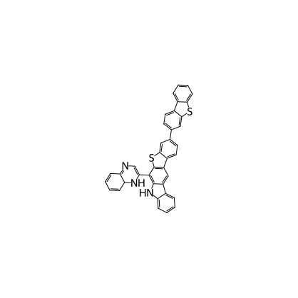 C1=CC2=NC=C(c3c4[nH]c5ccccc5c4cc4c3sc3cc(-c5ccc6c(c5)sc5ccccc56)ccc34)NC2C=C1